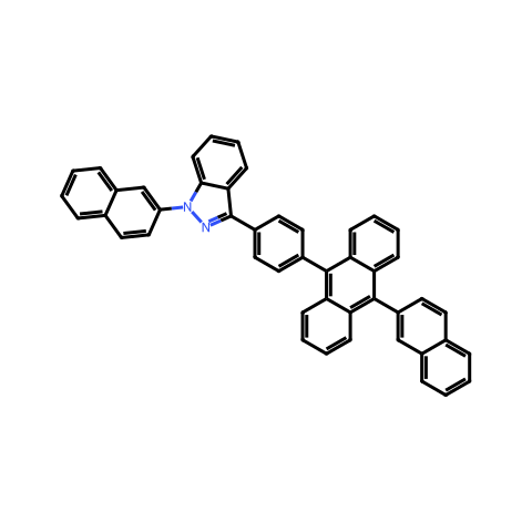 c1ccc2cc(-c3c4ccccc4c(-c4ccc(-c5nn(-c6ccc7ccccc7c6)c6ccccc56)cc4)c4ccccc34)ccc2c1